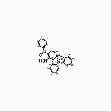 NC1=C(C(=O)c2ccccc2)C=CC(Oc2ccccc2)(Oc2ccccc2)C1N